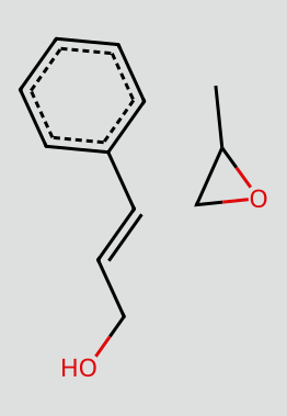 CC1CO1.OCC=Cc1ccccc1